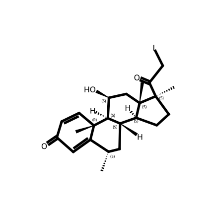 C[C@H]1C[C@@H]2[C@H]([C@@H](O)C[C@@]3(C)[C@H]2CC[C@]3(C)C(=O)CI)[C@@]2(C)C=CC(=O)C=C12